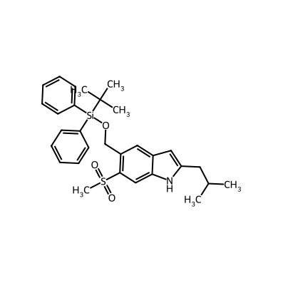 CC(C)Cc1cc2cc(CO[Si](c3ccccc3)(c3ccccc3)C(C)(C)C)c(S(C)(=O)=O)cc2[nH]1